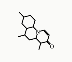 CC1CCC2C(C1)C(C)CC1C(C)C(=O)C=CN12